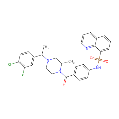 CC(c1ccc(Cl)c(F)c1)N1CCN(C(=O)c2ccc(NS(=O)(=O)c3cccc4cccnc34)cc2)[C@@H](C)C1